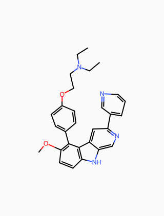 CCN(CC)CCOc1ccc(-c2c(OC)ccc3[nH]c4cnc(-c5cccnc5)cc4c23)cc1